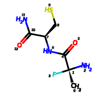 C[C@](N)(F)C(=O)N[C@H](CS)C(N)=O